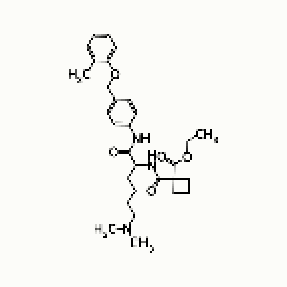 CCOC(=O)C1(C(=O)NC(CCCCN(C)C)C(=O)Nc2ccc(COc3ccccc3C)cc2)CCC1